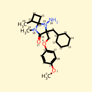 COc1ccc(OCC2(CC3CCCCC3)C(=O)N(C)C3(CCC3C)N2N)cc1